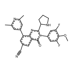 COc1c(F)cc(-n2c(C3CCCN3)nc3c(-c4cc(C)nc(C)c4)cc(C#N)cc3c2=O)cc1F